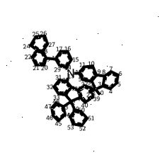 CC1(C)c2ccccc2-c2ccc(N(c3cccc(-c4cccc5ccccc45)c3)c3cccc4c3-c3ccccc3C4(c3ccccc3)c3ccccc3)cc21